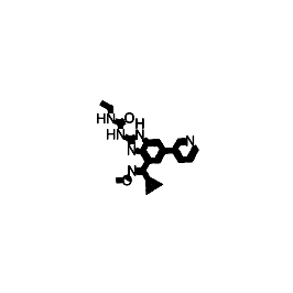 CCNC(=O)Nc1nc2c(C(=NOC)C3CC3)cc(-c3cccnc3)cc2[nH]1